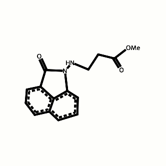 COC(=O)CCNN1C(=O)c2cccc3cccc1c23